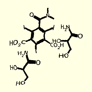 CN(C)C(=O)c1c(I)c(C(=O)O)c(I)c(C(=O)O)c1I.NC(=O)C(O)CO.NC(=O)C(O)CO